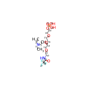 CCN(CC)CC.O=C(NCCOCCOCCOCCOP(=O)(O)O)C(F)(F)F